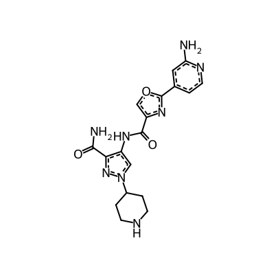 NC(=O)c1nn(C2CCNCC2)cc1NC(=O)c1coc(-c2ccnc(N)c2)n1